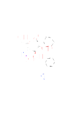 N#Cc1ccc(Cc2ccc3c(c2)[C@]2(OC3)O[C@H](CO)[C@@H](NO)[C@H](O)[C@H]2O)cc1